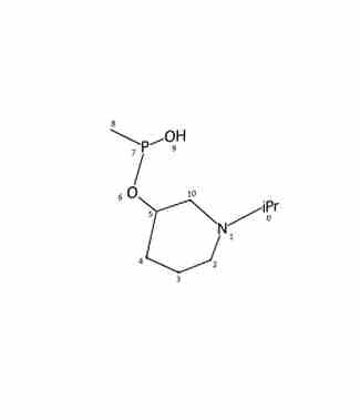 CC(C)N1CCCC(OP(C)O)C1